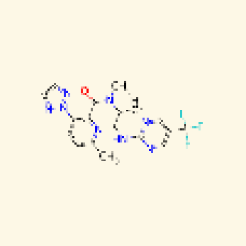 Cc1ccc(-n2nccn2)c(C(=O)N(C)C(C)CNc2ncc(C(F)(F)F)cn2)n1